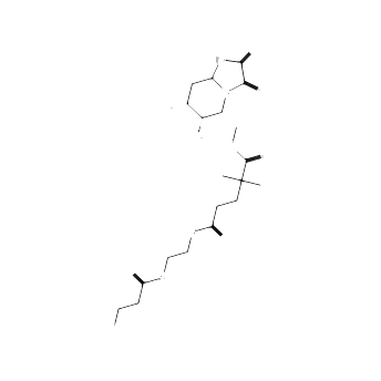 CC(C)(CCC(=O)NCCNC(=O)CCC(=O)O)C(=O)OC[C@@H]1[C@@H](O)[C@H](O)[C@H](O)[C@H]2NC(=O)C(=O)N12